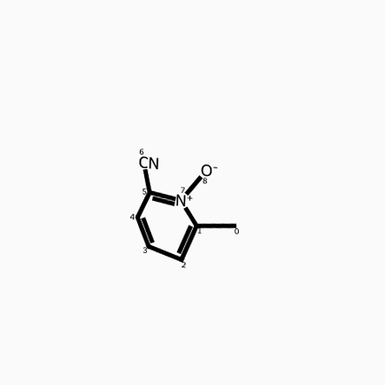 Cc1cccc(C#N)[n+]1[O-]